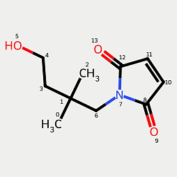 CC(C)(CCO)CN1C(=O)C=CC1=O